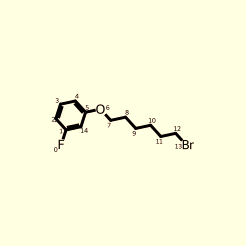 Fc1[c]ccc(OCCCCCCBr)c1